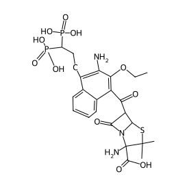 CCOc1c(N)c(CCC(P(=O)(O)O)P(=O)(O)O)c2ccccc2c1C(=O)C1C(=O)N2C1SC(C)(C)C2(N)C(=O)O